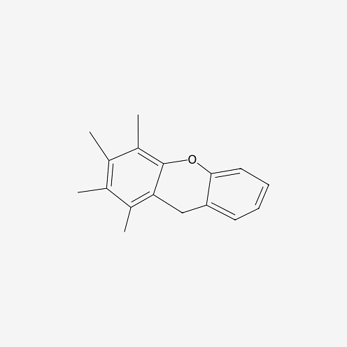 Cc1c(C)c(C)c2c(c1C)Cc1ccccc1O2